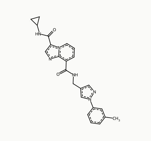 Cc1cccc(-n2cc(CNC(=O)c3cccn4c(C(=O)NC5CC5)cnc34)cn2)c1